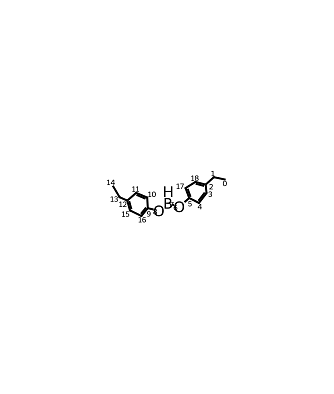 CCc1ccc(OBOc2ccc(CC)cc2)cc1